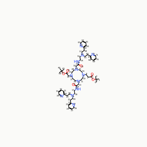 CC(C)(C)OC(=O)CCN1CCN(CC(=O)NCCN(CCc2ccccn2)CCc2ccccn2)CCN(CC(=O)OC(C)(C)C)CCN(CC(=O)NCCN(CCc2ccccn2)CCc2ccccn2)CC1